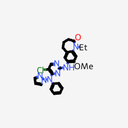 CCN1C(=O)CCCc2cc(Nc3ncc(Cl)c(N(c4ccccc4)n4cccn4)n3)c(OC)cc21